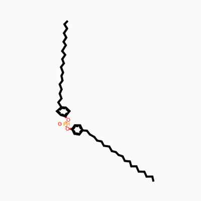 CCCCCCCCCCCCCCCCCCCCc1ccc(O[PH](=O)Oc2ccc(CCCCCCCCCCCCCCCCCCCC)cc2)cc1